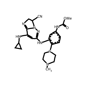 COC(=O)Nc1ccc(N2CCN(C)CC2)c(NC2=NN3C(=NCC3C#N)C(NC3CC3)=C2)c1